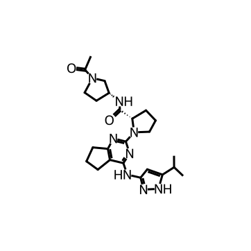 CC(=O)N1CC[C@@H](NC(=O)[C@@H]2CCCN2c2nc3c(c(Nc4cc(C(C)C)[nH]n4)n2)CCC3)C1